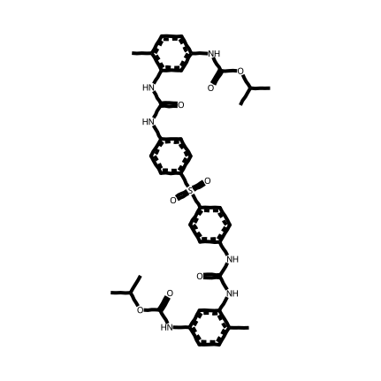 Cc1ccc(NC(=O)OC(C)C)cc1NC(=O)Nc1ccc(S(=O)(=O)c2ccc(NC(=O)Nc3cc(NC(=O)OC(C)C)ccc3C)cc2)cc1